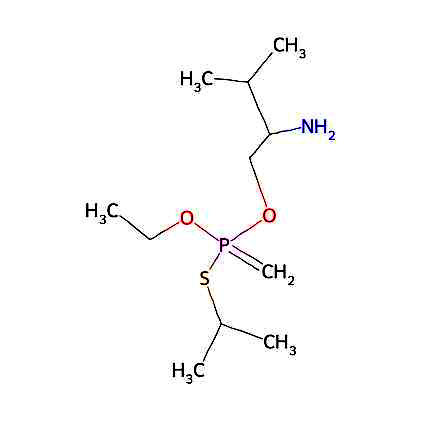 C=P(OCC)(OCC(N)C(C)C)SC(C)C